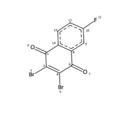 O=C1C(Br)=C(Br)C(=O)c2cc(F)ccc21